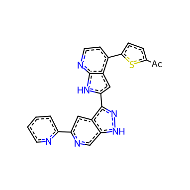 CC(=O)c1ccc(-c2ccnc3[nH]c(-c4n[nH]c5cnc(-c6ccccn6)cc45)cc23)s1